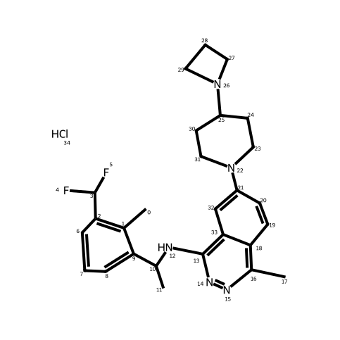 Cc1c(C(F)F)cccc1C(C)Nc1nnc(C)c2ccc(N3CCC(N4CCC4)CC3)cc12.Cl